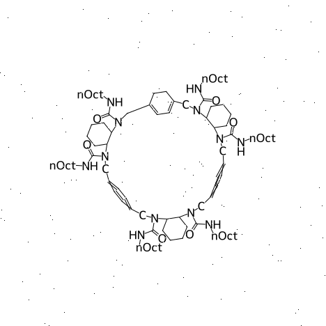 CCCCCCCCNC(=O)N1CC2=CC=C(CC2)CN(C(=O)NCCCCCCCC)C2CCCCC2N(C(=O)NCCCCCCCC)Cc2ccc(cc2)CN(C(=O)NCCCCCCCC)C2CCCCC2N(C(=O)NCCCCCCCC)Cc2ccc(cc2)CN(C(=O)NCCCCCCCC)C2CCCCC21